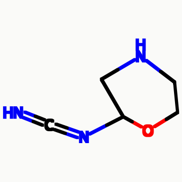 N=C=NC1CNCCO1